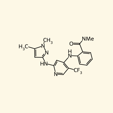 CNC(=O)c1ccccc1Nc1cc(Nc2cc(C)n(C)n2)ncc1C(F)(F)F